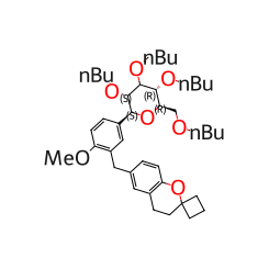 CCCCOC[C@H]1O[C@@H](c2ccc(OC)c(Cc3ccc4c(c3)CCC3(CCC3)O4)c2)[C@H](OCCCC)C(OCCCC)[C@@H]1OCCCC